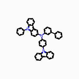 c1ccc(-c2cccc(N(c3ccc(-n4c5ccccc5c5ccccc54)cc3)c3ccc4c(c3)c3ccccc3n4-c3ccccc3)c2)cc1